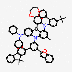 Cc1cc2c3c(c1)N(c1ccc(C(C)(C)C)cc1-c1ccccc1)c1cc4c(cc1B3c1ccc(N(c3ccccc3)c3ccccc3)cc1N2c1cc(-c2ccc3c(c2)C(C)(C)c2ccccc2-3)cc(-c2cc3ccccc3o2)c1)OCCCO4